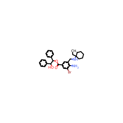 CCC1(NCc2cc(C(=O)OC(c3ccccc3)C(O)c3ccccc3)cc(Br)c2N)CCCCC1